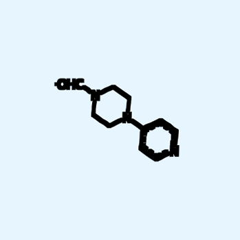 O=[C]N1CCN(c2ccncc2)CC1